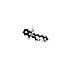 CCCC[N+]1(CCCCCC2CCSS2)C(=O)c2ccccc2C1=O